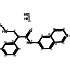 CC(C)NCC(C(=O)Nc1ccc2cnccc2c1)c1ccccc1.Cl.Cl